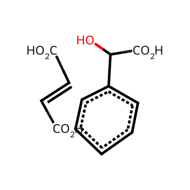 O=C(O)/C=C/C(=O)O.O=C(O)C(O)c1ccccc1